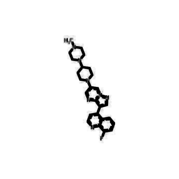 CN1CCN(C2CCN(c3cnc4c(-c5ccnc6c(F)cccc56)cnn4c3)CC2)CC1